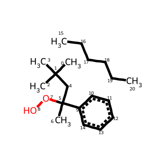 CC(C)(C)CC(C)(OO)c1ccccc1.CCCCCC